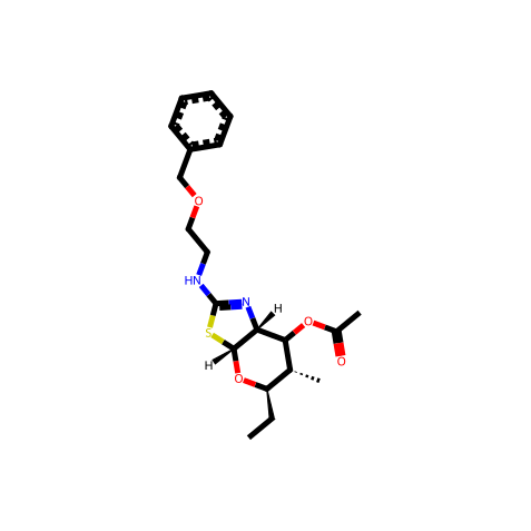 CC[C@H]1O[C@@H]2SC(NCCOCc3ccccc3)=N[C@@H]2C(OC(C)=O)[C@@H]1C